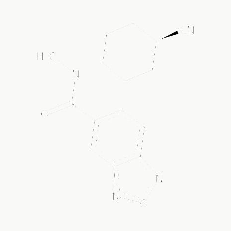 CN(C(=O)c1ccc2nonc2c1)[C@H]1CC[C@H](C#N)CC1